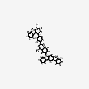 O=C1CC(c2ccc(C3CCNC4Sc5ccccc5C43)cc2)Oc2ccc(-n3c4ccccc4c4cc5c(cc43)oc3ccccc35)cc21